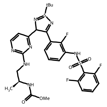 COC(=O)N[C@@H](C)CNc1nccc(C2N=S(C(C)(C)C)N=C2c2cccc(NS(=O)(=O)c3c(F)cccc3F)c2F)n1